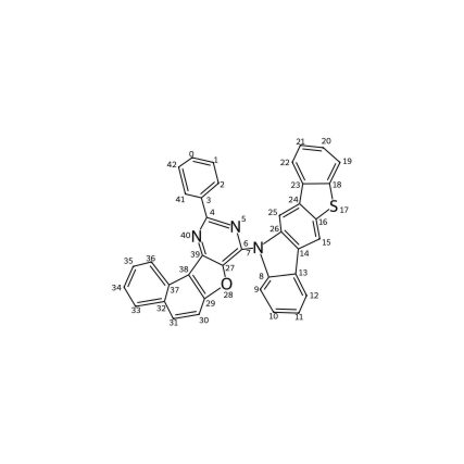 c1ccc(-c2nc(-n3c4ccccc4c4cc5sc6ccccc6c5cc43)c3oc4ccc5ccccc5c4c3n2)cc1